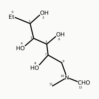 CCC(O)C(O)C(O)C(O)CN(C)C=O